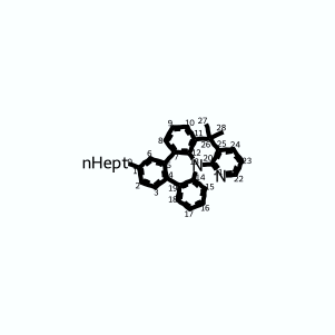 CCCCCCCc1ccc2c(c1)-c1cccc3c1N(c1ccccc1-2)c1ncccc1C3(C)C